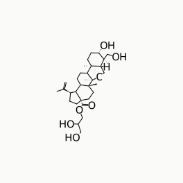 C=C(C)[C@@H]1CC[C@]2(C(=O)OCC(O)CO)CC[C@]3(C)C(CCC4[C@@]5(C)CC[C@H](O)[C@@](C)(CO)[C@@H]5CC[C@]43C)C12